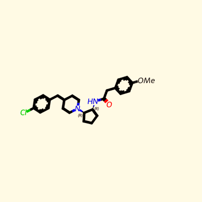 COc1ccc(CC(=O)N[C@@H]2CCC[C@H]2N2CCC(Cc3ccc(Cl)cc3)CC2)cc1